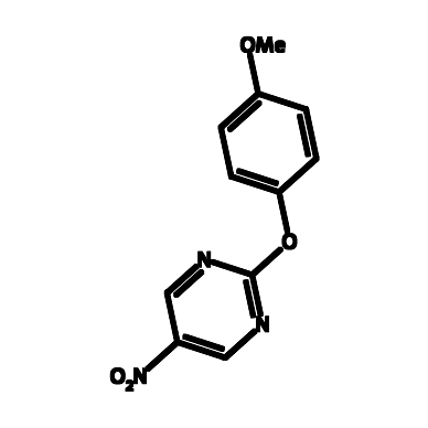 COc1ccc(Oc2ncc([N+](=O)[O-])cn2)cc1